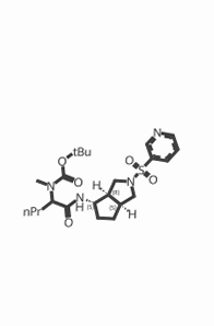 CCCC(C(=O)N[C@H]1CC[C@@H]2CN(S(=O)(=O)c3cccnc3)C[C@@H]21)N(C)C(=O)OC(C)(C)C